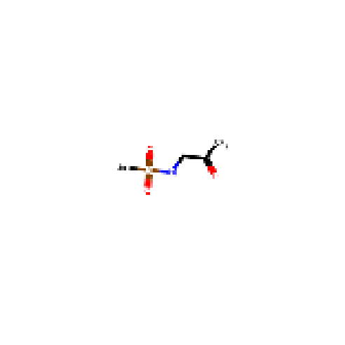 CC(C)(C)S(=O)(=O)NCC(=O)C(F)(F)F